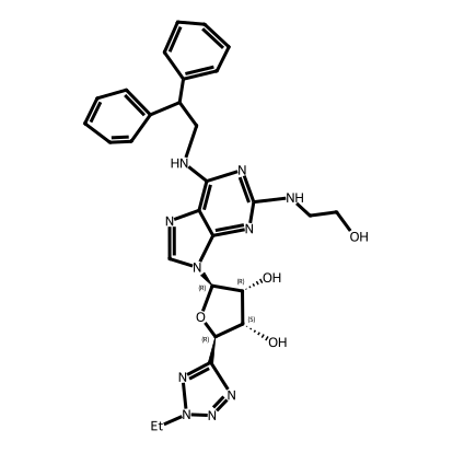 CCn1nnc([C@H]2O[C@@H](n3cnc4c(NCC(c5ccccc5)c5ccccc5)nc(NCCO)nc43)[C@H](O)[C@@H]2O)n1